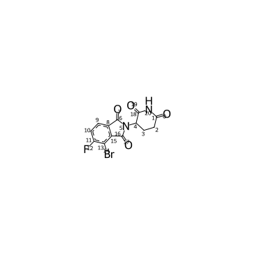 O=C1CCC(N2C(=O)c3ccc(F)c(Br)c3C2=O)C(=O)N1